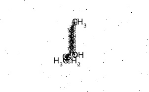 C=C(C)C(=O)OCCCC(CCO)C1CCC(c2ccc(-c3ccc(C4CCC(CC/C=C/C)CC4)cc3)cc2)CC1